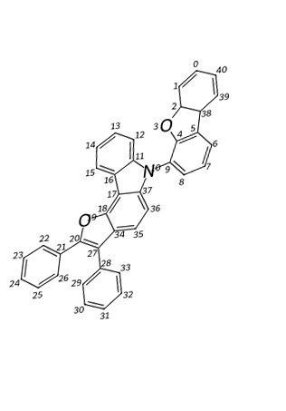 C1=CC2Oc3c(cccc3-n3c4ccccc4c4c5oc(-c6ccccc6)c(-c6ccccc6)c5ccc43)C2C=C1